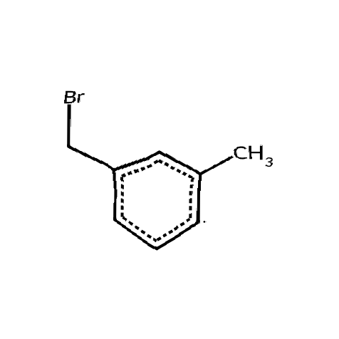 Cc1[c]ccc(CBr)c1